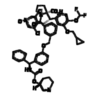 O=C(N[C@@H](c1ccccc1)c1cccc(OCc2cccc(C(=O)N3CCC[C@@]3(C(=O)O)[C@@H](Cc3c(Cl)c[n+]([O-])cc3Cl)c3ccc(OC(F)F)c(OCC4CC4)c3)c2)c1)O[C@H]1CN2CCC1CC2